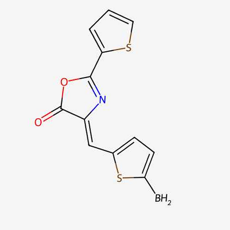 Bc1ccc(/C=C2\N=C(c3cccs3)OC2=O)s1